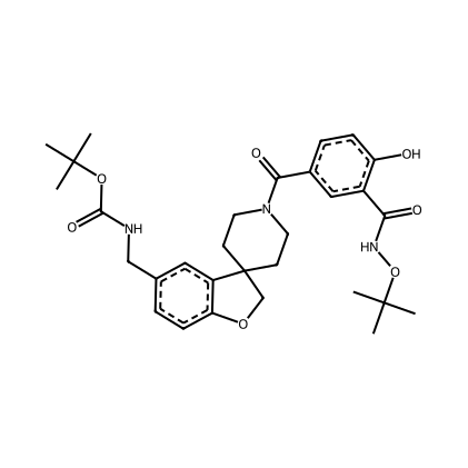 CC(C)(C)ONC(=O)c1cc(C(=O)N2CCC3(CC2)COc2ccc(CNC(=O)OC(C)(C)C)cc23)ccc1O